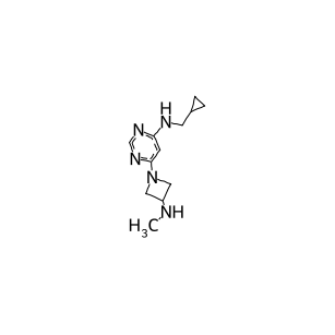 CNC1CN(c2cc(NCC3CC3)ncn2)C1